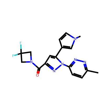 Cc1ccc(-n2nc(C(=O)N3CC(F)(F)C3)cc2-c2ccn(C)c2)nn1